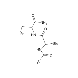 CC(C)CC(NC(=O)C(NC(=O)C(F)(F)F)C(C)(C)C)C(N)=O